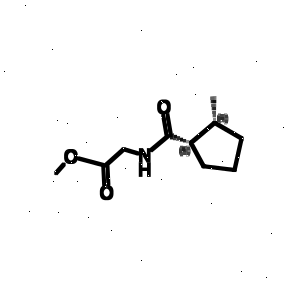 COC(=O)CNC(=O)[C@H]1CCC[C@H]1C